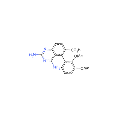 COc1cccc(-c2c(C(=O)O)ccc3nc(N)nc(N)c23)c1OC